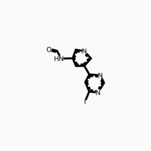 O=CNc1cncc(-c2cc(I)ncn2)c1